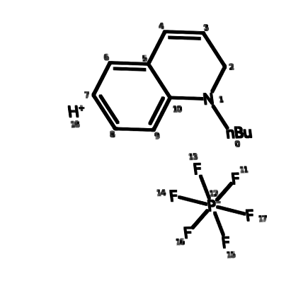 CCCCN1CC=Cc2ccccc21.F[P-](F)(F)(F)(F)F.[H+]